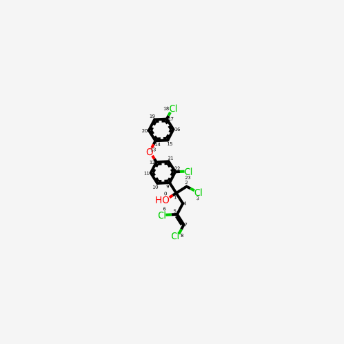 OC(CCl)(CC(Cl)=CCl)c1ccc(Oc2ccc(Cl)cc2)cc1Cl